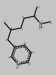 CNC(C)CCC(C)Cc1cccnc1